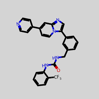 O=C(NCc1cccc(-c2cnc3cc(-c4ccncc4)ccn23)c1)Nc1ccccc1C(F)(F)F